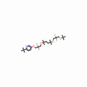 CC(C)(C)OCC(F)(F)COC(C)(C)CCC(C)(C)OCC(F)(F)COc1ccc(C(C)(C)C)nc1